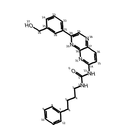 O=C(NCCCCc1ccccc1)Nc1ccc2ncc(-c3cccc(CO)c3)nc2n1